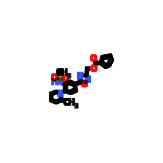 CC1CCCCN1c1ccc(-c2nc(COC(=O)c3ccccc3)no2)cc1NS(C)(=O)=O